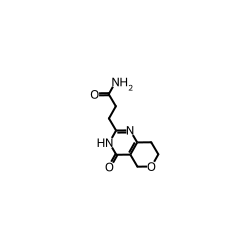 NC(=O)CCc1nc2c(c(=O)[nH]1)COCC2